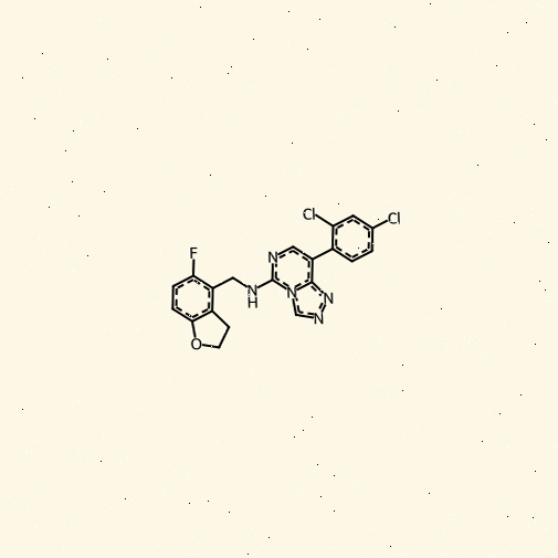 Fc1ccc2c(c1CNc1ncc(-c3ccc(Cl)cc3Cl)c3nncn13)CCO2